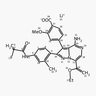 C=C(F)C(=O)Nc1ccc(-c2nn3c(C(=C)OCC)cnc(N)c3c2-c2ccc(C(=O)[O-])c(OC)c2)c(C)c1.[Li+]